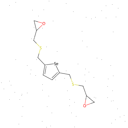 c1cc(CSCC2CO2)[se]c1CSCC1CO1